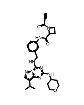 C#CC(=O)N1CCC1C(=O)Nc1cccc(CNc2nc(NC3CCOCC3)nc3c(C(C)C)cnn23)c1